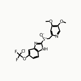 COc1cnc(C[S+]([O-])c2nc3cc(OC(F)(F)Cl)ccc3[nH]2)cc1OC